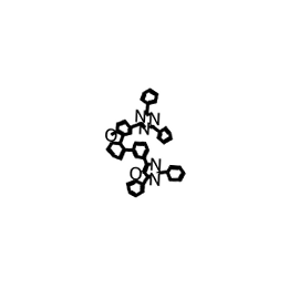 C1=CCC(c2nc(-c3cccc(C4=CC=CC5Oc6ccc(-c7nc(-c8ccccc8)nc(-c8ccccc8)n7)cc6C45)c3)c3oc4ccccc4c3n2)C=C1